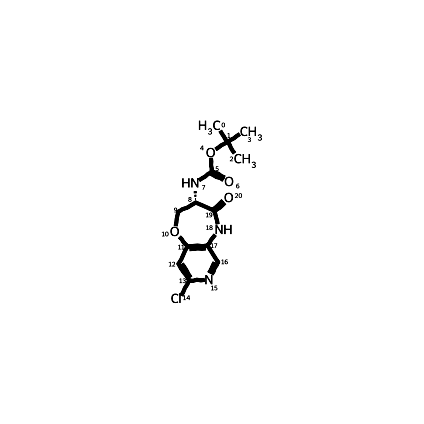 CC(C)(C)OC(=O)N[C@H]1COc2cc(Cl)ncc2NC1=O